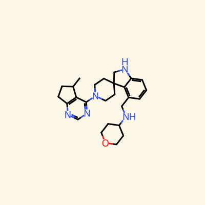 CC1CCc2ncnc(N3CCC4(CC3)CNc3cccc(CNC5CCOCC5)c34)c21